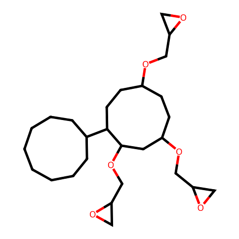 C1CCCCC(C2CCC(OCC3CO3)CCC(OCC3CO3)CC2OCC2CO2)CCC1